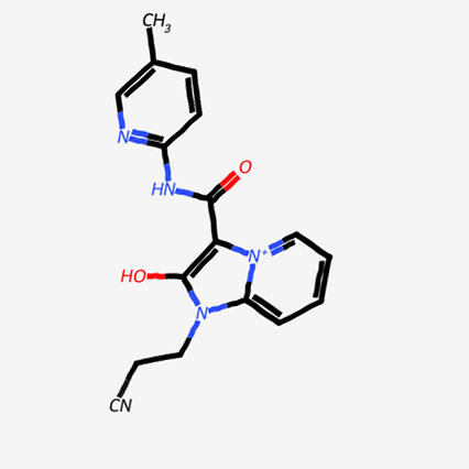 Cc1ccc(NC(=O)c2c(O)n(CCC#N)c3cccc[n+]23)nc1